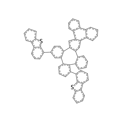 c1ccc2c(c1)-c1cc3c4ccccc4c4ccccc4c3cc1-c1ccc(-c3cccc4c3sc3ccccc34)cc1-c1cccc(-c3cccc4c3sc3ccccc34)c1-2